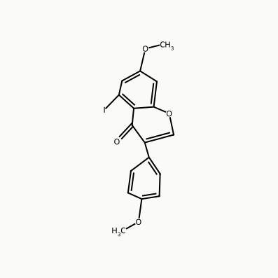 COc1ccc(-c2coc3cc(OC)cc(I)c3c2=O)cc1